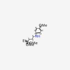 CC[Si](CCCNc1ccc(OC)cc1)(OC)OC